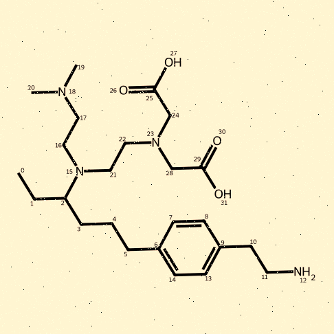 CCC(CCCc1ccc(CCN)cc1)N(CCN(C)C)CCN(CC(=O)O)CC(=O)O